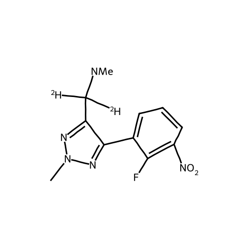 [2H]C([2H])(NC)c1nn(C)nc1-c1cccc([N+](=O)[O-])c1F